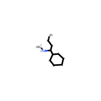 CCCCNC(CCC(C)C)C1CCCCC1